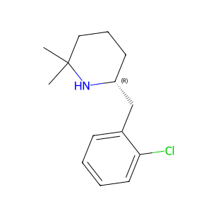 CC1(C)CCC[C@H](Cc2ccccc2Cl)N1